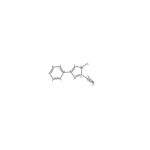 Cn1cc(-c2ccccc2)cc1C#N